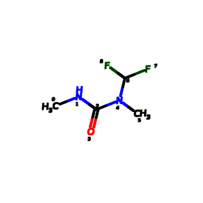 CNC(=O)N(C)C(F)F